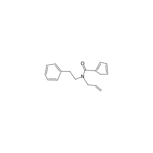 C=CCN(CCc1ccccc1)C(=O)C1=CC=CC1